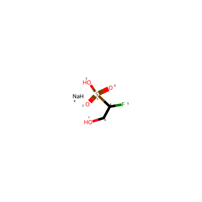 O=S(=O)(O)C(F)CO.[NaH]